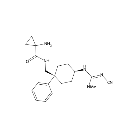 CN/C(=N\C#N)N[C@H]1CC[C@](CNC(=O)C2(N)CC2)(c2ccccc2)CC1